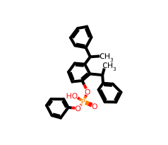 CC(c1ccccc1)c1cccc(OP(=O)(O)Oc2ccccc2)c1C(C)c1ccccc1